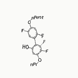 CCCCCOc1cc(F)c(-c2c(O)cc(OCCC)c(F)c2F)cc1F